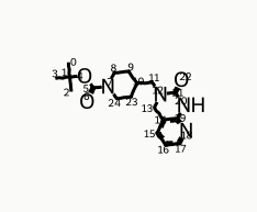 CC(C)(C)OC(=O)N1CCC(CN2Cc3cccnc3NC2=O)CC1